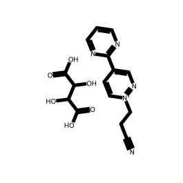 N#CCC[n+]1ccc(-c2ncccn2)cn1.O=C(O)C(O)C(O)C(=O)O